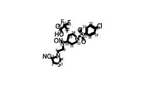 N#CC1CSCN1CCN(N=O)C1CCN(S(=O)(=O)c2ccc(Cl)cc2)CC1.O=C(O)C(F)(F)F